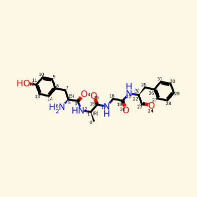 C[C@@H](NC(=O)[C@@H](N)Cc1ccc(O)cc1)C(=O)NCC(=O)N[C@H]([C]=O)Cc1ccccc1